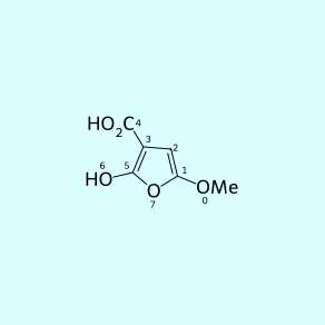 COc1cc(C(=O)O)c(O)o1